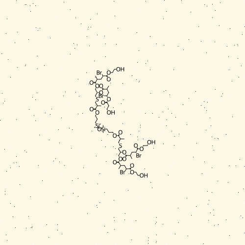 CC(CSCC(COC(=O)C(C)CC(Br)C(=O)OCCO)OC(=O)C(C)CC(Br)OC(=O)CCO)C(=O)OCCC[Si](C)(C)O[Si](C)(C)CCCOC(=O)C(C)CSCC(COC(=O)C(C)CC(Br)C(=O)OCCO)OC(=O)C(C)CC(Br)C(=O)OCCO